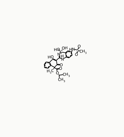 CC(C)OC(=O)C1(C)C(=O)C(C2=NS(O)(O)c3cc(NS(C)(=O)=O)ccc3N2)=C(O)c2ccccc21